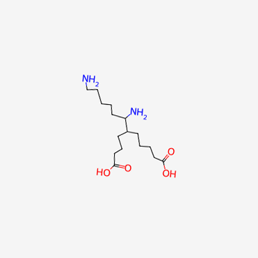 NCCCCCC(N)C(CCCCC(=O)O)CCCC(=O)O